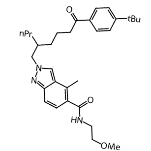 CCCC(CCCC(=O)c1ccc(C(C)(C)C)cc1)Cn1cc2c(C)c(C(=O)NCCOC)ccc2n1